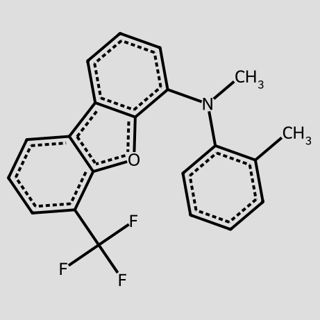 Cc1ccccc1N(C)c1cccc2c1oc1c(C(F)(F)F)cccc12